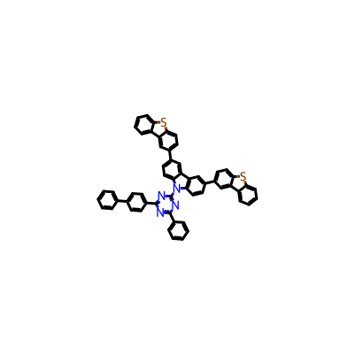 c1ccc(-c2ccc(-c3nc(-c4ccccc4)nc(-n4c5ccc(-c6ccc7sc8ccccc8c7c6)cc5c5cc(-c6ccc7sc8ccccc8c7c6)ccc54)n3)cc2)cc1